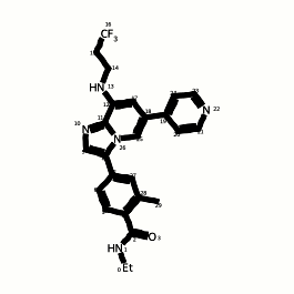 CCNC(=O)c1ccc(-c2cnc3c(NCCC(F)(F)F)cc(-c4ccncc4)cn23)cc1C